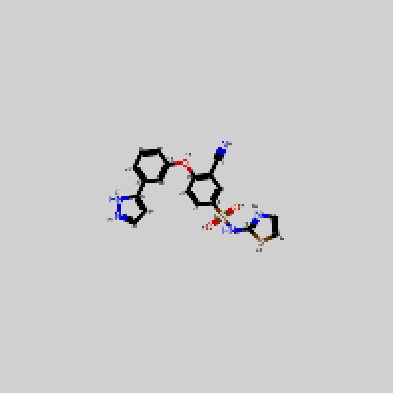 N#Cc1cc(S(=O)(=O)Nc2nccs2)ccc1Oc1cccc(-c2ccn[nH]2)c1